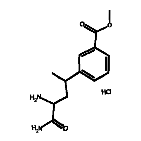 COC(=O)c1cccc(C(C)CC(N)C(N)=O)c1.Cl